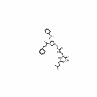 CC(C)CCC(=O)N[C@@H](CNC(=O)CO[C@@H]1C[C@@H](CNc2ccccn2)N(C(=O)OCc2ccccc2)C1)C(=O)O